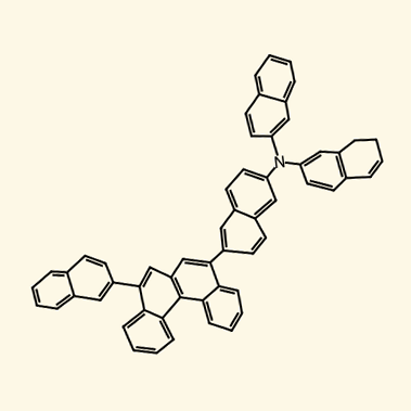 C1=Cc2ccc(N(c3ccc4ccccc4c3)c3ccc4cc(-c5cc6cc(-c7ccc8ccccc8c7)c7ccccc7c6c6ccccc56)ccc4c3)cc2CC1